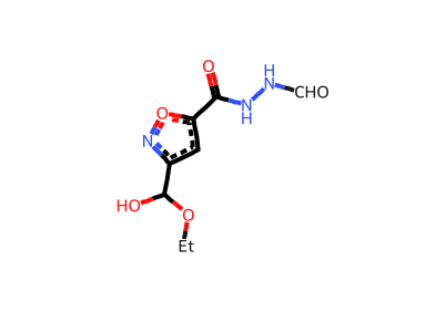 CCOC(O)c1cc(C(=O)NNC=O)on1